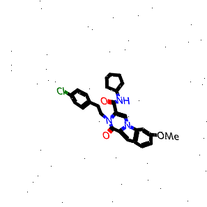 COc1ccc2cc3c(=O)n(CCc4ccc(Cl)cc4)c(C(=O)NC4CCCCC4)cn3c2c1